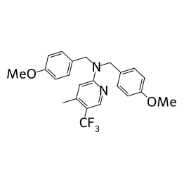 COc1ccc(CN(Cc2ccc(OC)cc2)c2cc(C)c(C(F)(F)F)cn2)cc1